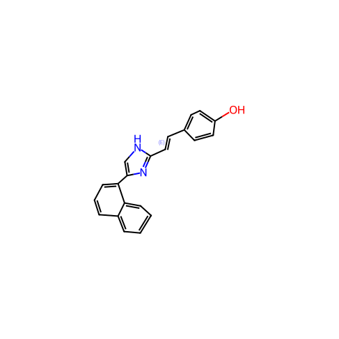 Oc1ccc(/C=C/c2nc(-c3cccc4ccccc34)c[nH]2)cc1